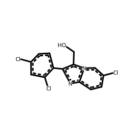 OCc1c(-c2ccc(Cl)cc2Cl)nc2ccc(Cl)cn12